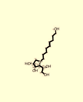 OCCCCCCCCCN1C[C@@H](O)[C@@H](O)[C@@H]1[C@H](O)CO